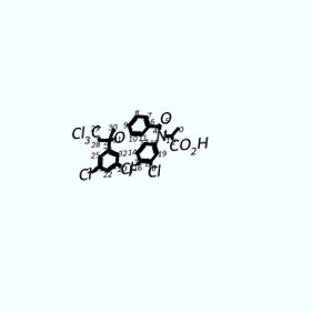 CC(C(=O)O)N(C(=O)c1ccccc1)c1ccc(F)c(Cl)c1.Clc1cc(Cl)cc(C2(CC(Cl)(Cl)Cl)CO2)c1